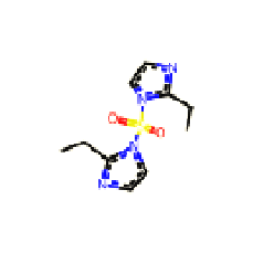 CCc1nccn1S(=O)(=O)n1ccnc1CC